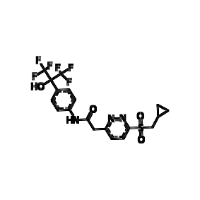 O=C(Cc1ccc(S(=O)(=O)CC2CC2)nn1)Nc1ccc(C(O)(C(F)(F)F)C(F)(F)F)cc1